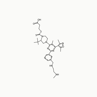 CNCCNCc1cccc(-c2nc(-c3c(C)noc3C)c(C)c(N3CCN(C(=S)SCCC(=O)O)C(C(C)(C)C)C3)n2)c1